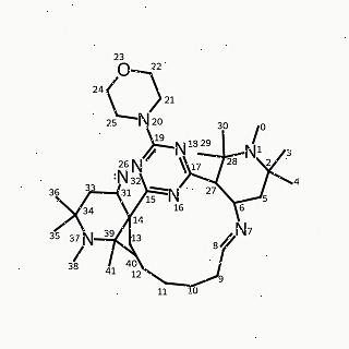 CN1C(C)(C)CC2/N=C/CCCCCC3(c4nc(nc(N5CCOCC5)n4)C2C1(C)C)C([N])CC(C)(C)N(C)C3(C)C